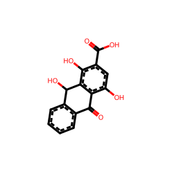 O=C(O)c1cc(O)c2c(c1O)C(O)c1ccccc1C2=O